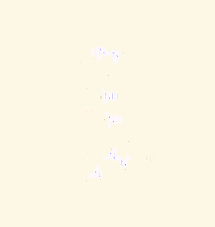 CC(C)(C)c1cc(CNC(=O)Nc2cc(F)cc3[nH]ncc23)n(-c2ccccn2)n1